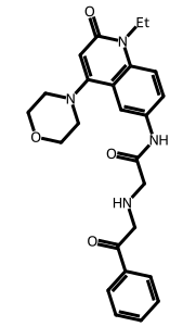 CCn1c(=O)cc(N2CCOCC2)c2cc(NC(=O)CNCC(=O)c3ccccc3)ccc21